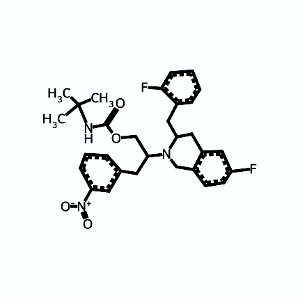 CC(C)(C)NC(=O)OCC(Cc1cccc([N+](=O)[O-])c1)N1Cc2ccc(F)cc2CC1Cc1ccccc1F